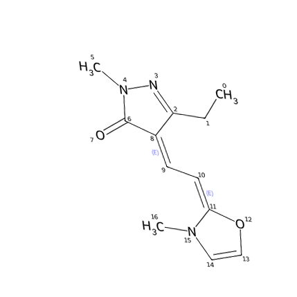 CCC1=NN(C)C(=O)/C1=C/C=C1/OC=CN1C